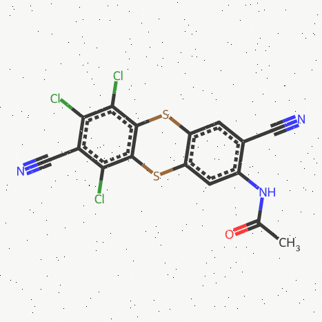 CC(=O)Nc1cc2c(cc1C#N)Sc1c(Cl)c(Cl)c(C#N)c(Cl)c1S2